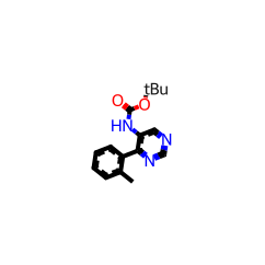 Cc1ccccc1-c1ncncc1NC(=O)OC(C)(C)C